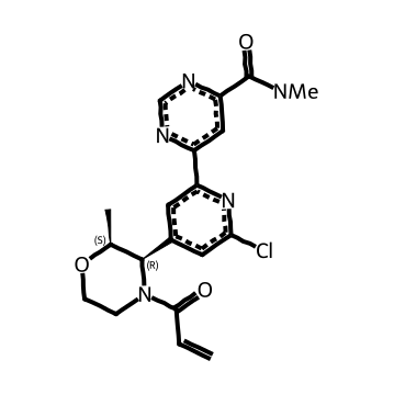 C=CC(=O)N1CCO[C@@H](C)[C@H]1c1cc(Cl)nc(-c2cc(C(=O)NC)ncn2)c1